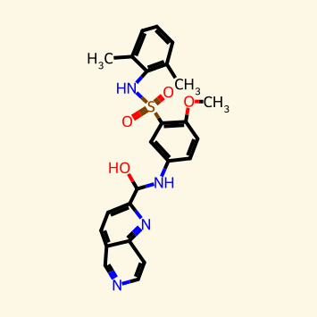 COc1ccc(NC(O)c2ccc3cnccc3n2)cc1S(=O)(=O)Nc1c(C)cccc1C